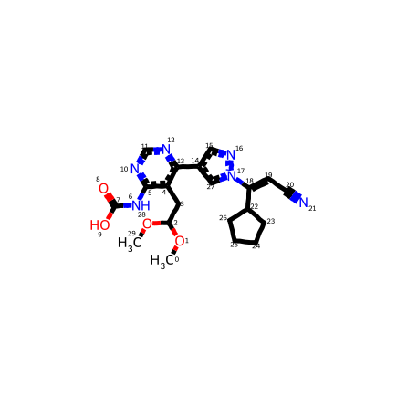 COC(Cc1c(NC(=O)O)ncnc1-c1cnn(C(=CC#N)C2CCCC2)c1)OC